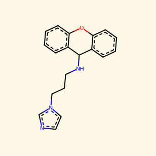 c1ccc2c(c1)Oc1ccccc1C2NCCCn1ccnc1